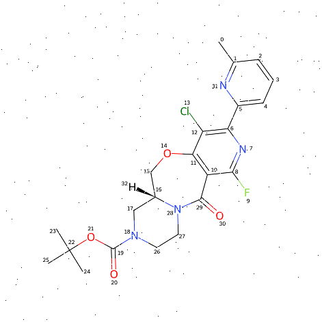 Cc1cccc(-c2nc(F)c3c(c2Cl)OC[C@H]2CN(C(=O)OC(C)(C)C)CCN2C3=O)n1